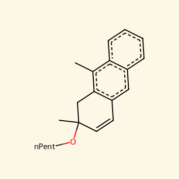 CCCCCOC1(C)C=Cc2cc3ccccc3c(C)c2C1